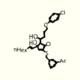 CCCCCC/C=C/C1(O)C=C(SCc2cccc(C(C)=O)c2)C(=O)C1C(O)CCCOc1ccc(Cl)cc1